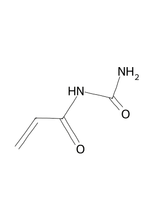 C=CC(=O)NC(N)=O